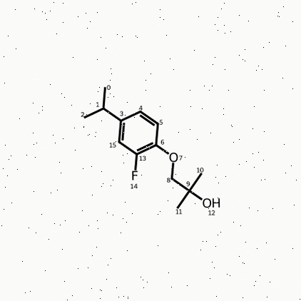 CC(C)c1ccc(OCC(C)(C)O)c(F)c1